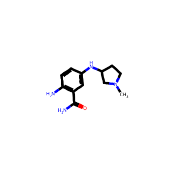 CN1CCC(Nc2ccc(N)c(C(N)=O)c2)C1